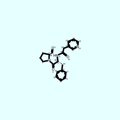 O=[C][C@@H]1CCCN1C(=O)[C@@H](Cc1ccccc1)NC(=O)Cc1cccnc1